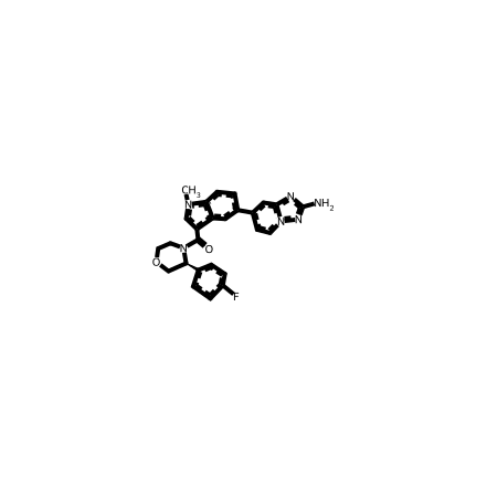 Cn1cc(C(=O)N2CCOC[C@@H]2c2ccc(F)cc2)c2cc(-c3ccn4nc(N)nc4c3)ccc21